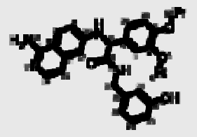 CCOc1cc(C(Nc2ccc3c(N)nccc3c2)C(=O)NCc2cccc(O)c2)ccc1OC(C)C